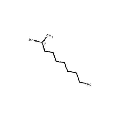 CC(=O)CCCCCCC[C@H](C)C(C)=O